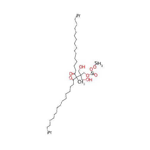 CC(C)CCCCCCCCCCCCCCC(=O)C(C)(C(=O)CCCCCCCCCCCCCCC(C)C)C(CO)(CO)CO[Si](=O)OO[SiH3]